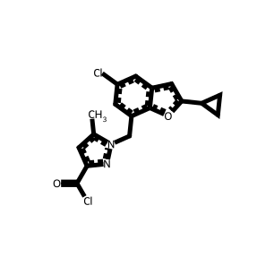 Cc1cc(C(=O)Cl)nn1Cc1cc(Cl)cc2cc(C3CC3)oc12